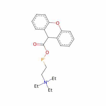 CC[N+](CC)(CC)CC[P-]OC(=O)C1c2ccccc2Oc2ccccc21